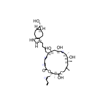 C=C/C=C\C[C@@H]1OC(=O)/C=C\C=C\[C@@H](CCCCN2NNC3=C2CC[C@@H]2[C@@H](CO)[C@@H]2CC3)[C@@H](O)C[C@H](O)/C=C\[C@H](C)[C@H](O)[C@@H](C)C[C@@H](C)CC[C@@H](O)[C@@H]1C